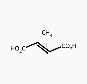 C.O=C(O)/C=C/C(=O)O